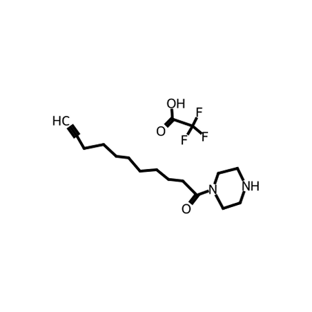 C#CCCCCCCCCC(=O)N1CCNCC1.O=C(O)C(F)(F)F